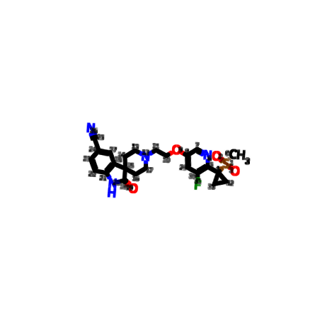 CS(=O)(=O)C1(c2ncc(OCCN3CCC4(CC3)C(=O)Nc3ccc(C#N)cc34)cc2F)CC1